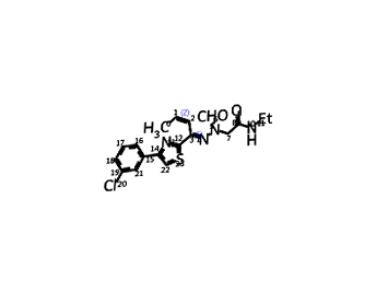 C/C=C\C(=N/N(C=O)CC(=O)NCC)c1nc(-c2cccc(Cl)c2)cs1